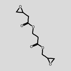 O=C(CCOC(=O)CC1CO1)OCC1CO1